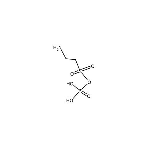 NCCS(=O)(=O)OP(=O)(O)O